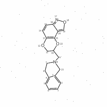 c1ccc2c(c1)CCN(CC1COc3ccc4nocc4c3O1)C2